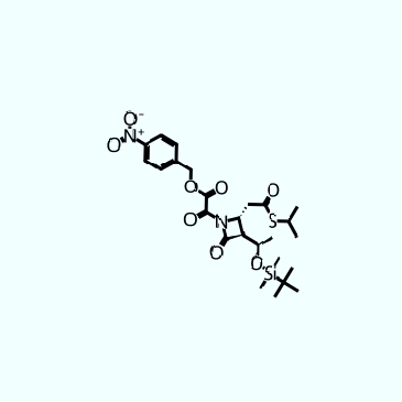 CC(C)SC(=O)C[C@@H]1[C@@H]([C@@H](C)O[Si](C)(C)C(C)(C)C)C(=O)N1C(=O)C(=O)OCc1ccc([N+](=O)[O-])cc1